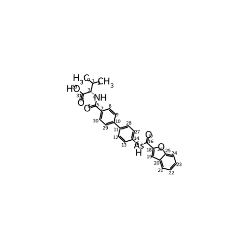 CC(C)[C@H](NC(=O)c1ccc(-c2ccc([AsH]C(=O)c3cc4ccccc4o3)cc2)cc1)C(=O)O